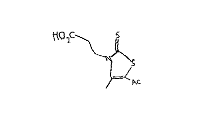 CC(=O)c1sc(=S)n(CCC(=O)O)c1C